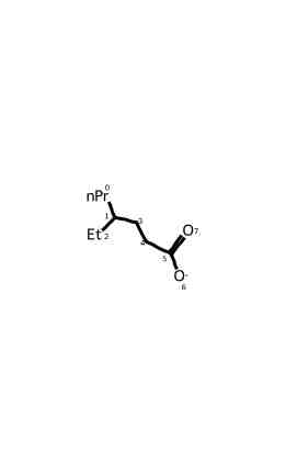 CCCC(CC)CCC([O])=O